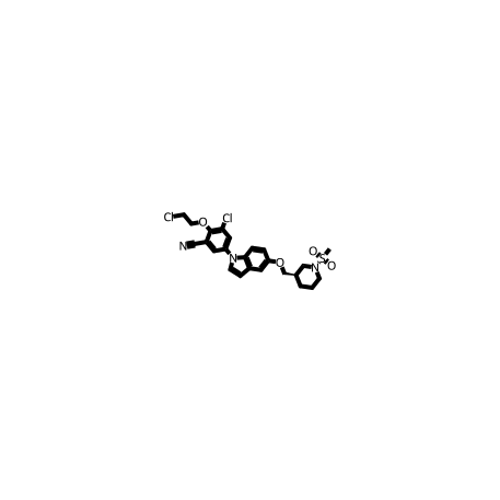 CS(=O)(=O)N1CCC[C@@H](COc2ccc3c(ccn3-c3cc(Cl)c(OCCCl)c(C#N)c3)c2)C1